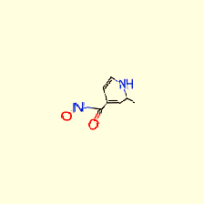 CC1C=C(C(=O)N=O)C=CN1